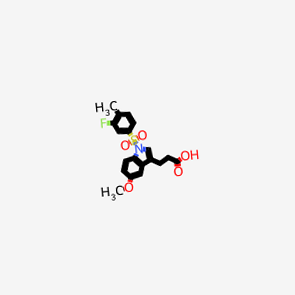 COc1ccc2c(c1)c(CCC(=O)O)cn2S(=O)(=O)c1ccc(C)c(F)c1